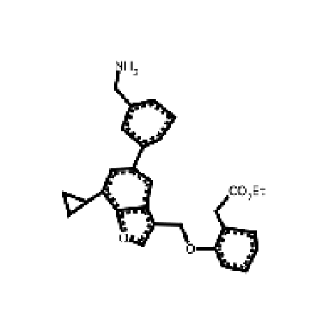 CCOC(=O)Cc1ccccc1OCc1coc2c(C3CC3)cc(-c3cccc(CN)c3)cc12